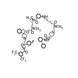 CN(CCN1CCC(OC(=O)Nc2ccccc2-c2ccccc2)CC1)C(=O)CCCCCNc1cccc(C(=O)N(C)CCCN(C)C(=O)CO[C@H]2Cc3ccccc3C23CCN(CC[C@@]2(c4ccc(F)cc4)CN(C(=O)c4cc(C(F)(F)F)cc(C(F)(F)F)c4)CO2)CC3)c1